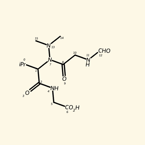 CC(C)C(C(=O)NCC(=O)O)N(C(=O)CNC=O)N(C)C